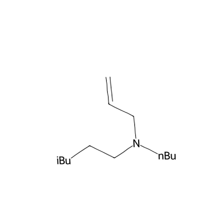 C=CCN(CCCC)CCC(C)CC